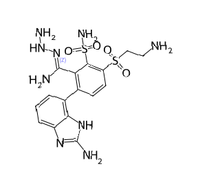 NCCS(=O)(=O)c1ccc(-c2cccc3nc(N)[nH]c23)c(/C(N)=N/NN)c1S(N)(=O)=O